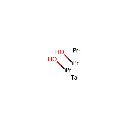 CC(C)O.CC(C)O.[Pr].[Ta]